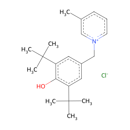 Cc1ccc[n+](Cc2cc(C(C)(C)C)c(O)c(C(C)(C)C)c2)c1.[Cl-]